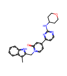 Cc1c(Cn2ccc(-c3ccnc(NC4CCOCC4)n3)cc2=O)[nH]c2ccccc12